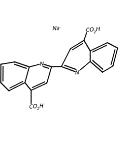 O=C(O)c1cc(-c2cc(C(=O)O)c3ccccc3n2)nc2ccccc12.[Na]